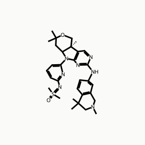 CN1Cc2cc(Nc3ncc4c(n3)N(c3cccc(N=S(C)(C)=O)n3)C3CC(C)(C)OC[C@@]43C)ccc2C(C)(C)C1